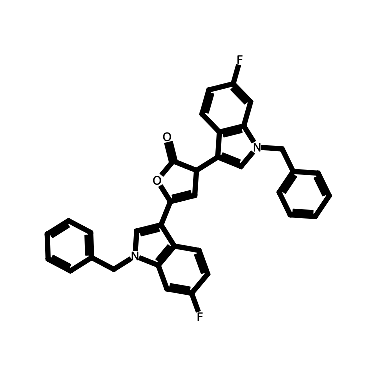 O=C1OC(c2cn(Cc3ccccc3)c3cc(F)ccc23)=CC1c1cn(Cc2ccccc2)c2cc(F)ccc12